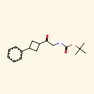 CC(C)(C)OC(=O)NCC(=O)C1CC(c2ccccc2)C1